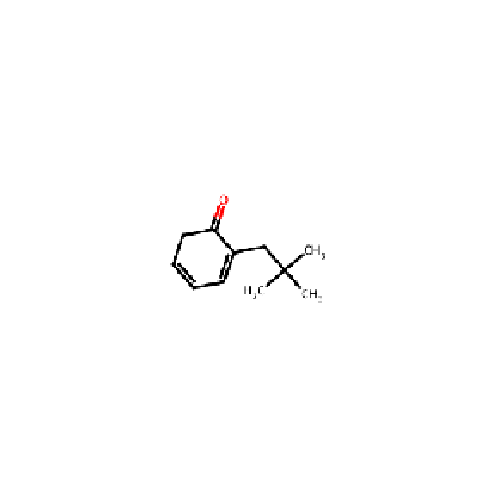 CC(C)(C)CC1=CC=CCC1=O